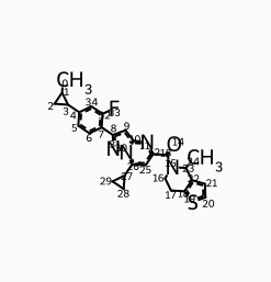 CC1CC1c1ccc(-c2cc3nc(C(=O)N4CCc5sccc5C4C)cc(C4CC4)n3n2)c(F)c1